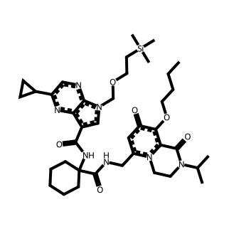 CCCCOc1c2n(c(CNC(=O)C3(NC(=O)c4cn(COCC[Si](C)(C)C)c5ncc(C6CC6)nc45)CCCCC3)cc1=O)CCN(C(C)C)C2=O